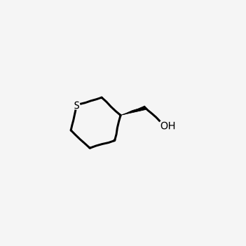 OC[C@H]1CCCSC1